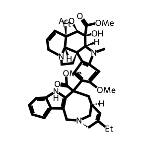 CCC1=C[C@H]2C[N@](C1)Cc1c([nH]c3ccccc13)C(C(=O)OC)(c1cc3c(cc1OC)N(C)[C@H]1[C@@](O)(C(=O)OC)[C@H](OC(C)=O)[C@@]4(CC)C=CCN5CC[C@]31[C@H]54)C2